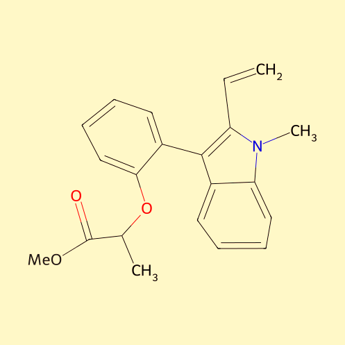 C=Cc1c(-c2ccccc2OC(C)C(=O)OC)c2ccccc2n1C